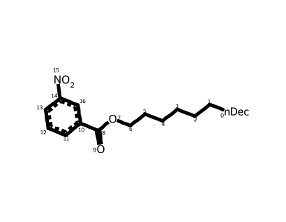 CCCCCCCCCCCCCCCCOC(=O)c1cccc([N+](=O)[O-])c1